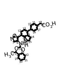 CC(OC(=O)Nc1cnoc1-c1ccc(-c2ccc(CC(=O)O)cc2)c2cc[nH]c12)c1ccccc1